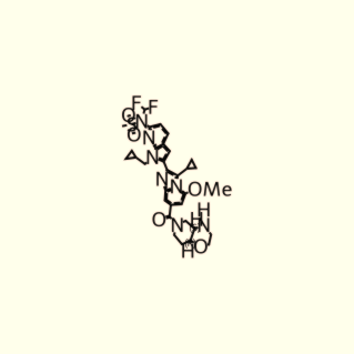 COc1cc(C(=O)N2CC[C@H]3OCCN[C@H]3C2)cc2nc(-c3cc4ccc(N(C(F)F)S(C)(=O)=O)nc4n3CC3CC3)c(C3CC3)n12